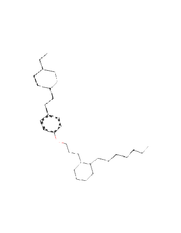 CCCCCCCC1CCCCC1CCCOc1ccc(CCC2CCC(CC)CC2)cc1